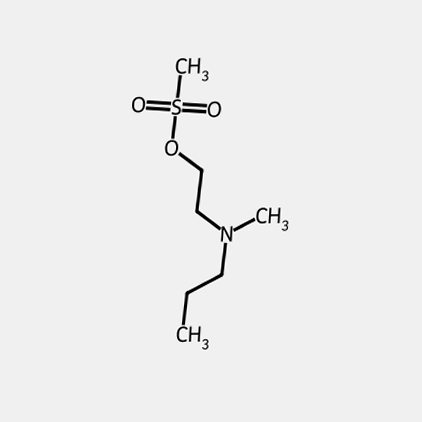 CCCN(C)CCOS(C)(=O)=O